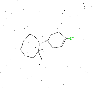 CC1(C)CCCCCC[C@@H]1C1CC=C(Cl)CC1